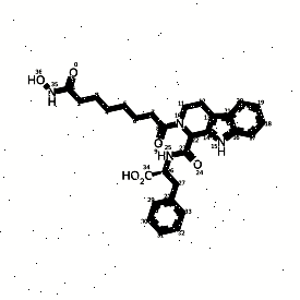 O=C(CCCCCCC(=O)N1CCc2c([nH]c3ccccc23)C1C(=O)N[C@@H](Cc1ccccc1)C(=O)O)NO